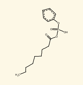 CCCCCCCCC(=O)OP(=O)(O)Oc1ccccc1